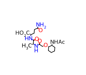 CC(=O)N[C@H]1CCCC[C@@H]1OCC(=O)N[C@@H](C)C(=O)N[C@H](CCC(N)=O)C(=O)O